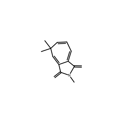 C=c1c2c(c(=C)n1C)=CC(C)(C)C=CC=2